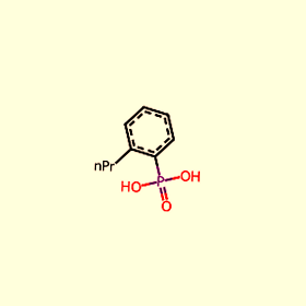 CCCc1ccccc1P(=O)(O)O